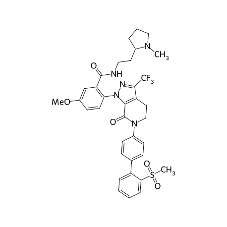 COc1ccc(-n2nc(C(F)(F)F)c3c2C(=O)N(c2ccc(-c4ccccc4S(C)(=O)=O)cc2)CC3)c(C(=O)NCCC2CCCN2C)c1